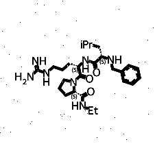 CCNC(=O)[C@@H]1CCCN1C(=O)[C@H](CCCNC(=N)N)NC(=O)[C@H](CC(C)C)NCc1ccccc1